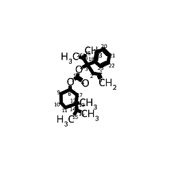 C=CCC(OC(=O)OC1CCCC(C)(C(C)C)C1)(c1ccccc1)C(C)C